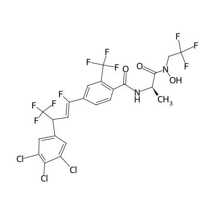 C[C@@H](NC(=O)c1ccc(/C(F)=C/C(c2cc(Cl)c(Cl)c(Cl)c2)C(F)(F)F)cc1C(F)(F)F)C(=O)N(O)CC(F)(F)F